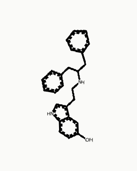 Oc1ccc2[nH]cc(CCNC(Cc3ccccc3)Cc3ccccc3)c2c1